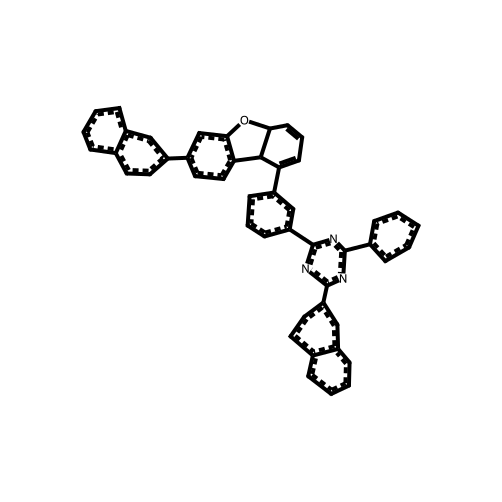 C1=CC2Oc3cc(-c4ccc5ccccc5c4)ccc3C2C(c2cccc(-c3nc(-c4ccccc4)nc(-c4ccc5ccccc5c4)n3)c2)=C1